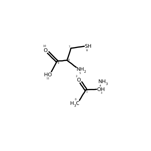 CC(=O)O.N.NC(CS)C(=O)O